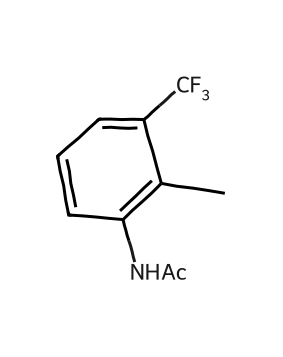 CC(=O)Nc1cccc(C(F)(F)F)c1C